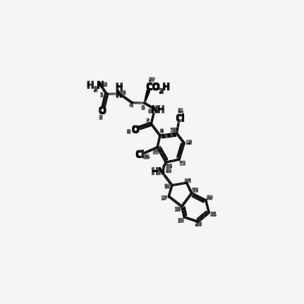 NC(=O)NC[C@H](NC(=O)c1c(Cl)ccc(NC2Cc3ccccc3C2)c1Cl)C(=O)O